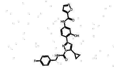 O=C(Nc1ccc(-c2cc(C3CC3)n(C(=O)NCc3ccc(F)cc3)n2)c(O)c1)c1ccno1